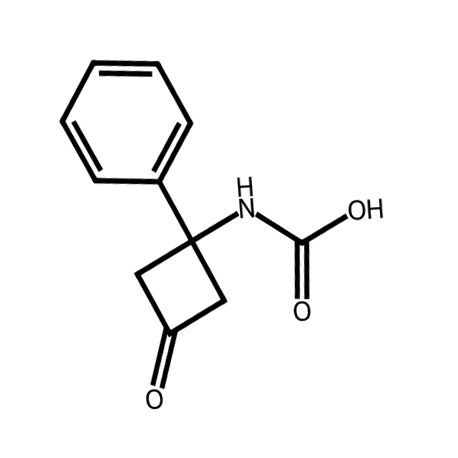 O=C1CC(NC(=O)O)(c2ccccc2)C1